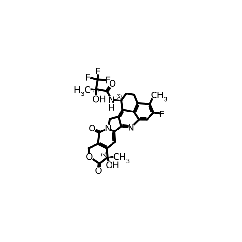 Cc1c(F)cc2nc3c(c4c2c1CC[C@@H]4NC(=O)[C@](C)(O)C(F)(F)F)Cn1c-3cc2c(c1=O)COC(=O)[C@@]2(C)O